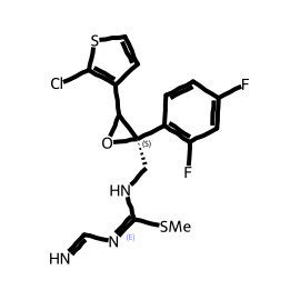 CS/C(=N/C=N)NC[C@]1(c2ccc(F)cc2F)OC1c1ccsc1Cl